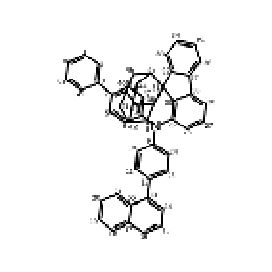 c1ccc(-c2ccc(N(c3ccc(-c4cccc5ccccc45)cc3)c3cccc4c3C3(c5ccccc5-4)C4CC5CC(C4)CC3C5)cc2)cc1